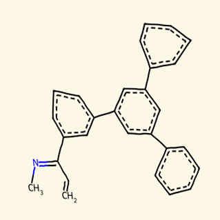 C=C/C(=N\C)c1cccc(-c2cc(-c3ccccc3)cc(-c3ccccc3)c2)c1